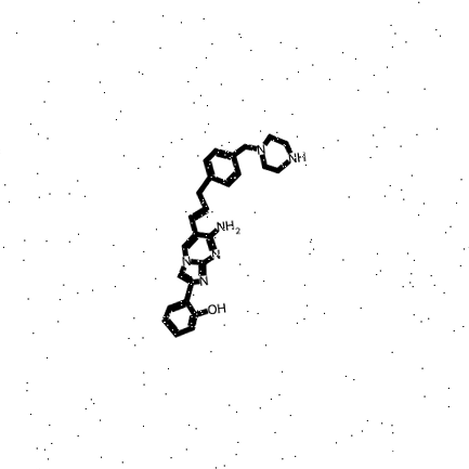 Nc1nc2nc(-c3ccccc3O)cn2cc1C=CCc1ccc(CN2CCNCC2)cc1